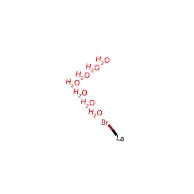 O.O.O.O.O.O.O.[Br][La]